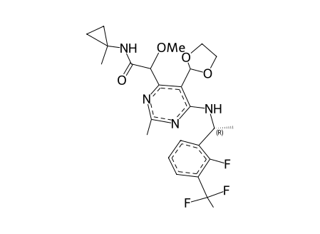 COC(C(=O)NC1(C)CC1)c1nc(C)nc(N[C@H](C)c2cccc(C(C)(F)F)c2F)c1C1OCCO1